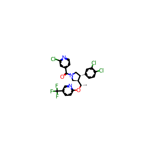 C[C@H](Oc1ccc(C(F)(F)F)cn1)[C@H]1CN(C(=O)c2ccnc(Cl)c2)C[C@@H]1c1ccc(Cl)c(Cl)c1